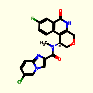 CN(C(=O)c1cn2cc(Cl)ccc2n1)[C@H]1COCc2[nH]c(=O)c3cc(F)ccc3c21